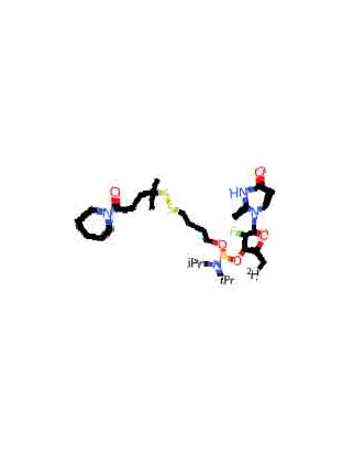 [2H]CC1OC(N2C=CC(=O)NC2=C)C(F)C1OP(OCCCCSSC(C)(C)CCC(=O)N1CCCCC1)N(C(C)C)C(C)C